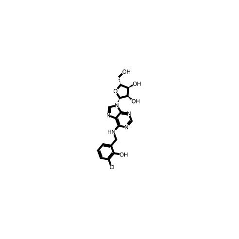 OC[C@H]1O[C@@H](n2cnc3c(NCc4cccc(Cl)c4O)ncnc32)[C@H](O)[C@@H]1O